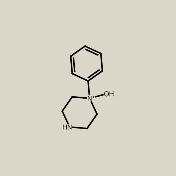 O[N+]1(c2ccccc2)CCNCC1